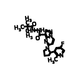 Cc1ncc(F)cc1C1CCCN1c1ccn2ncc(C(=O)NNC(=O)C(C)(C)C)c2n1